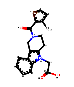 Cc1ccsc1C(=O)N1CCc2c(c3ccccc3n2CC(=O)O)C1